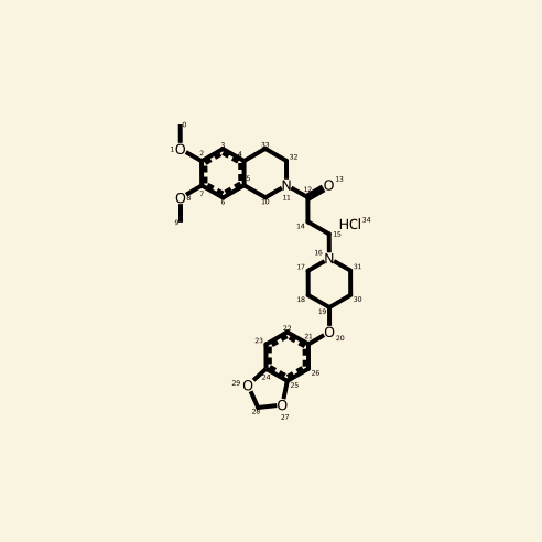 COc1cc2c(cc1OC)CN(C(=O)CCN1CCC(Oc3ccc4c(c3)OCO4)CC1)CC2.Cl